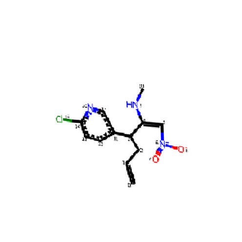 C=CCC(/C(=C\[N+](=O)[O-])NC)c1ccc(Cl)nc1